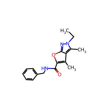 CCn1nc2oc(C(=O)NCc3ccccc3)c(C)c2c1C